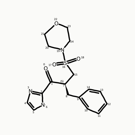 O=C(C1=NC=C[N]1)[C@H](Cc1ccccc1)CS(=O)(=O)N1CCOCC1